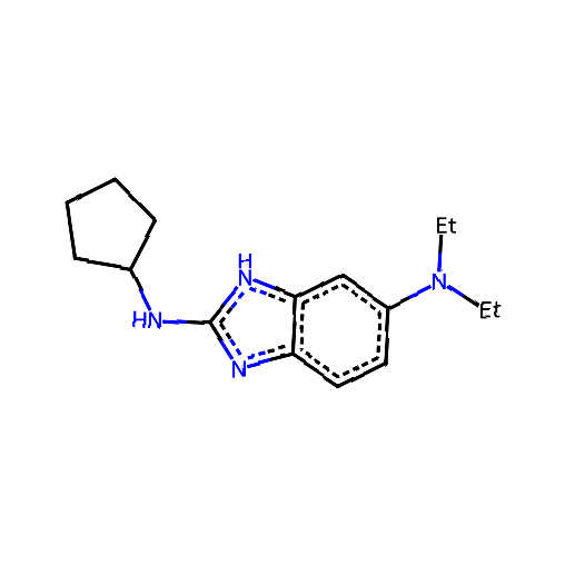 CCN(CC)c1ccc2nc(NC3CCCC3)[nH]c2c1